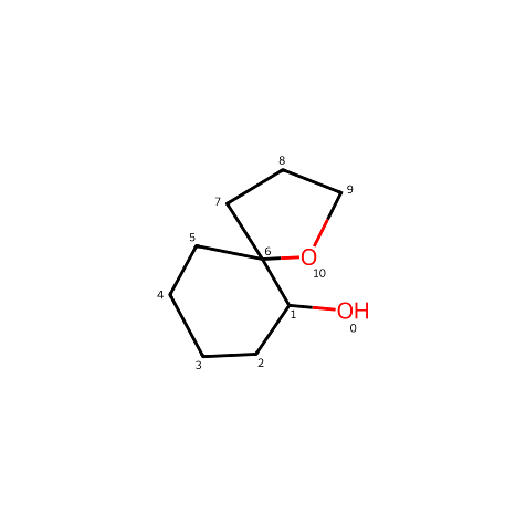 OC1CCCCC12CCCO2